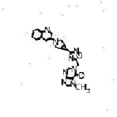 Cn1cnc2ncn(Cc3nc(C4C5CN(c6cnc7ccccc7c6)CC54)no3)c(=O)c21